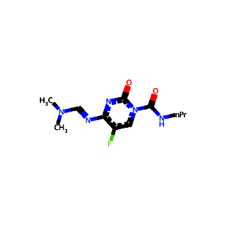 CCCNC(=O)n1cc(F)c(/N=C/N(C)C)nc1=O